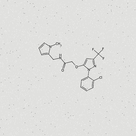 Cn1cccc1CNC(=O)COc1cc(C(F)(F)F)nn1-c1ccccc1Cl